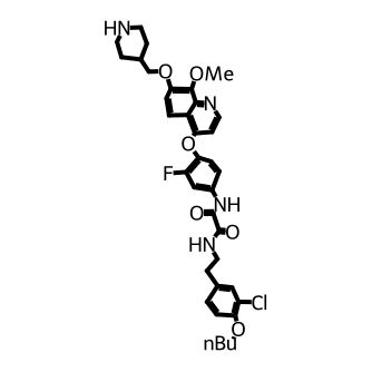 CCCCOc1ccc(CCNC(=O)C(=O)Nc2ccc(Oc3ccnc4c(OC)c(OCC5CCNCC5)ccc34)c(F)c2)cc1Cl